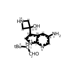 CC(C)(C)OC=O.Nc1cnc2[nH]cc(C3(O)CNC3)c2c1